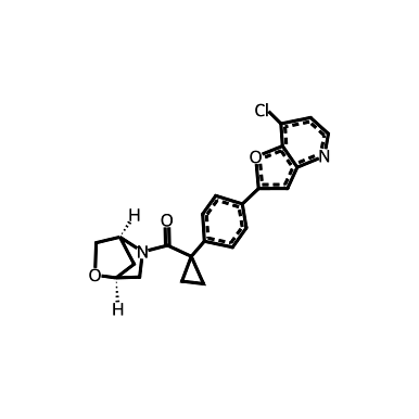 O=C(N1C[C@@H]2C[C@H]1CO2)C1(c2ccc(-c3cc4nccc(Cl)c4o3)cc2)CC1